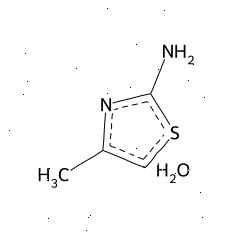 Cc1csc(N)n1.O